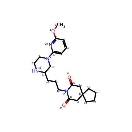 COc1cccc(N2CCNC(CCCN3C(=O)CC4(CCCC4)CC3=O)C2)n1